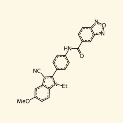 CCn1c(-c2ccc(NC(=O)c3ccc4nonc4c3)cc2)c(C#N)c2cc(OC)ccc21